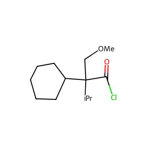 COCC(C(=O)Cl)(C(C)C)C1CCCCC1